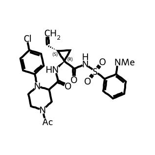 C=C[C@@H]1C[C@]1(NC(=O)C1CN(C(C)=O)CCN1c1ccc(Cl)cc1)C(=O)NS(=O)(=O)c1ccccc1NC